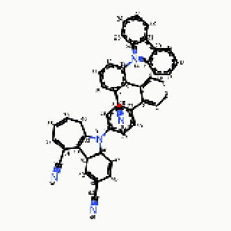 C/C=C(\C(=C/C)c1c(C#N)cccc1-n1c2ccccc2c2ccccc21)c1ccc(N2C3=C(C(C#N)=CC=CC3)C3C=C(C#N)C=CC32)cc1